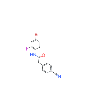 N#Cc1ccc(CC(=O)Nc2ccc(Br)cc2I)cc1